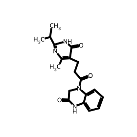 Cc1nc(C(C)C)[nH]c(=O)c1CCC(=O)N1CC(=O)Nc2ccccc21